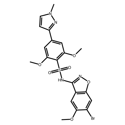 COc1cc2c(NS(=O)(=O)c3c(OC)cc(-c4ccn(C)n4)cc3OC)noc2cc1Br